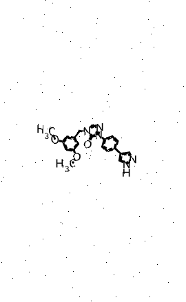 COc1cc(Cn2cnn(-c3ccc(-c4cn[nH]c4)cc3)c2=O)cc(OC)c1